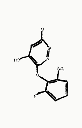 O=[N+]([O-])c1cccc(F)c1Oc1nnc(Cl)cc1O